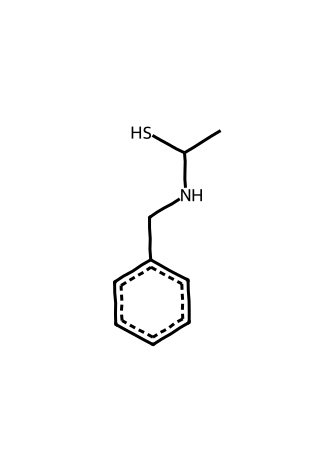 CC(S)NCc1ccccc1